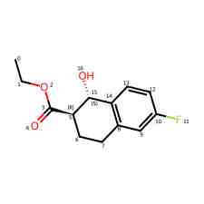 CCOC(=O)[C@@H]1CCc2cc(F)ccc2[C@H]1O